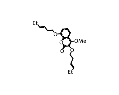 CCC=CCCOc1c(OC)c2cccc(OCCC=CCC)c2oc1=O